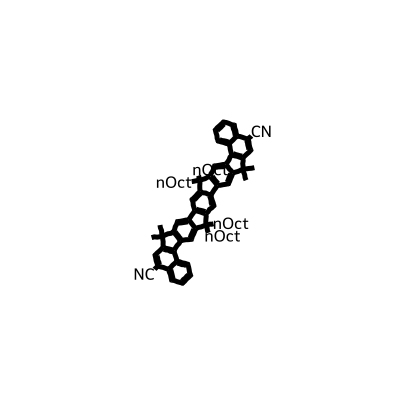 CCCCCCCCC1(CCCCCCCC)c2cc3c(cc2-c2cc4c(cc21)-c1cc2c(cc1C4(CCCCCCCC)CCCCCCCC)-c1c(cc(C#N)c4ccccc14)C2(C)C)C(C)(C)c1cc(C#N)c2ccccc2c1-3